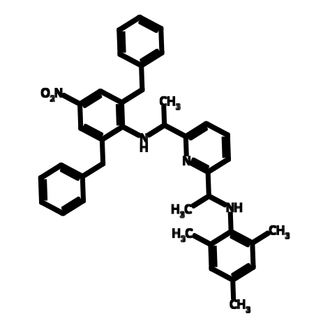 Cc1cc(C)c(NC(C)c2cccc(C(C)Nc3c(Cc4ccccc4)cc([N+](=O)[O-])cc3Cc3ccccc3)n2)c(C)c1